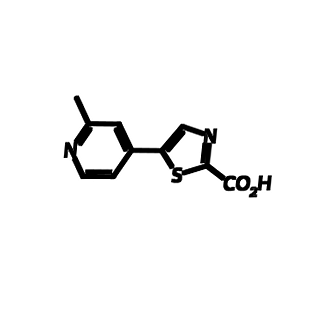 Cc1cc(-c2cnc(C(=O)O)s2)ccn1